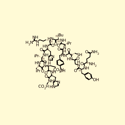 CC[C@H](C)[C@H](NC(=O)[C@@H](NC(=O)[C@H](Cc1ccc(O)cc1)NC(=O)[C@H](CS)NC(=O)CNC(=O)[C@H](Cc1ccc(O)cc1)NC(=O)[C@@H](N)CCC(N)=O)C(C)C)C(=O)N[C@@H](CCCNC(=N)N)C(=O)N[C@@H](Cc1c[nH]cn1)C(=O)N[C@H](C(=O)N[C@@H](CC(C)C)C(=O)N[C@@H](CCC(=O)O)C(=O)N[C@@H](Cc1c[nH]cn1)C(=O)NCC(=O)O)C(C)C